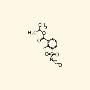 CC(C)OC(=O)c1cccc(S(=O)(=O)N=C=O)c1I